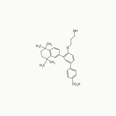 CC1(C)CCC(C)(C)c2cc(-c3cc(-c4ccc(C(=O)O)cc4)ccc3OCCCO)ccc21